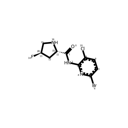 O=C(Nc1nc(Br)ccc1Cl)[C@@H]1C[C@@H](F)CN1